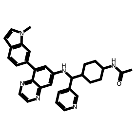 CC(=O)NC1CCC(C(Nc2cc(-c3ccc4ccn(C)c4c3)c3nccnc3c2)c2cccnc2)CC1